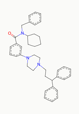 O=C(c1cccc(N2CCN(CCC(c3ccccc3)c3ccccc3)CC2)c1)N(Cc1ccccc1)C1CCCCC1